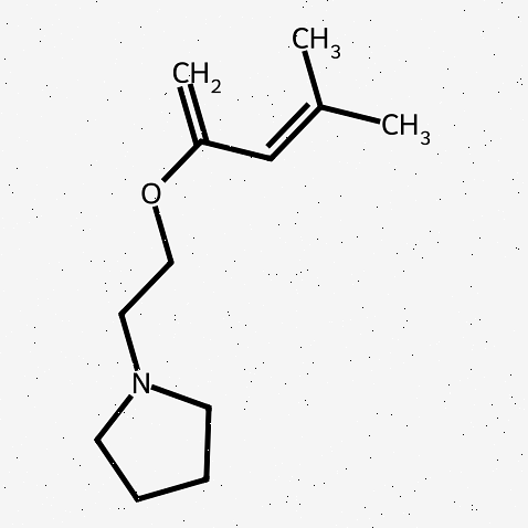 C=C(C=C(C)C)OCCN1CCCC1